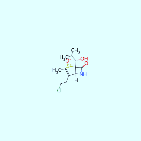 CC1=C(CCCl)[C@@H]2NC(=O)[C@]2([C@@H](O)C(C)C)[S+]1[O-]